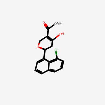 COC(=O)C1=C(O)CC(c2cccc3cccc(Cl)c23)OC1